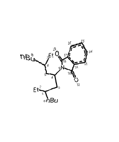 CCCCC(CC)CC(CC(CC)CCCC)N1C(=O)c2ccccc2C1=O